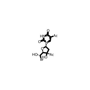 CC(=O)c1cn([C@H]2C[C@@](O)(C(C)=O)[C@@H]([C@@H](O)Br)O2)c(=O)[nH]c1=O